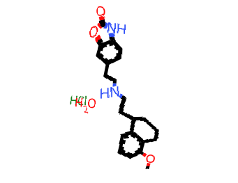 COc1cccc2c1CCCC2CCNCCc1ccc2[nH]c(=O)oc2c1.Cl.O